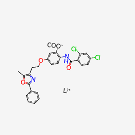 Cc1oc(-c2ccccc2)nc1CCOc1ccc(NC(=O)c2ccc(Cl)cc2Cl)c(C(=O)[O-])c1.[Li+]